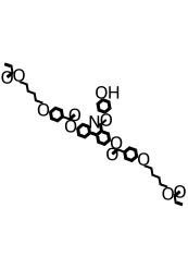 C=CC(=O)OCCCCCCOc1ccc(C(=O)Oc2ccc3c(c2)nc(Oc2ccc(O)cc2)c2cc(OC(=O)c4ccc(OCCCCCCOC(=O)C=C)cc4)ccc23)cc1